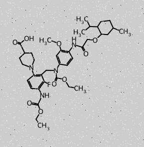 CCOC(=O)Nc1ccc(N2CCC(C(=O)O)CC2)c(CN(C(=O)OCC)c2ccc(NC(=O)COC3CC(C)CCC3C(C)C)c(OC)c2)c1F